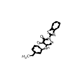 CCc1cccc(Nc2cnn(-c3nc4ccccc4s3)c(=O)c2Cl)c1